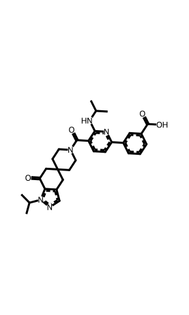 CC(C)Nc1nc(-c2cccc(C(=O)O)c2)ccc1C(=O)N1CCC2(CC1)CC(=O)c1c(cnn1C(C)C)C2